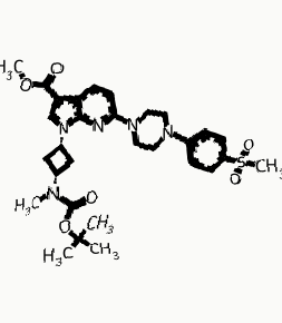 COC(=O)c1cn([C@H]2C[C@@H](N(C)C(=O)OC(C)(C)C)C2)c2nc(N3CCN(c4ccc(S(C)(=O)=O)cc4)CC3)ccc12